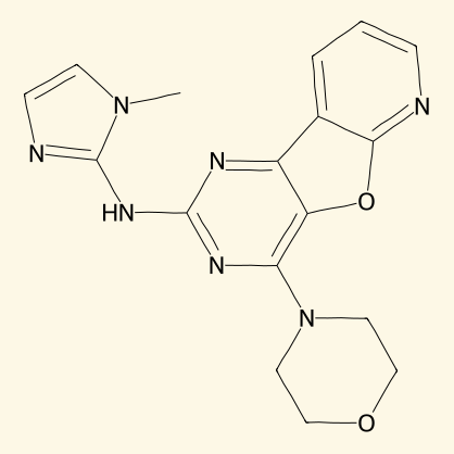 Cn1ccnc1Nc1nc(N2CCOCC2)c2oc3ncccc3c2n1